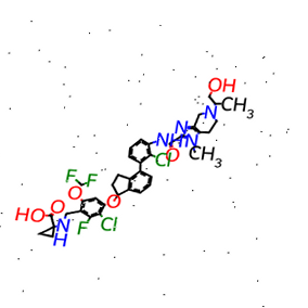 CC(CO)N1CCc2c(nc(C(=O)Nc3cccc(-c4cccc5c4CCC5Oc4cc(OC(F)F)c(CNC5(C(=O)O)CC5)c(F)c4Cl)c3Cl)n2C)C1